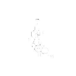 C[C@@H]([C@H]1CC[C@H]2[C@@H]3CC[C@H]4C[C@H](O)CC[C@]4(C)[C@H]3CC[C@]12C)[C@@H](O)CCC1CC1